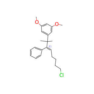 COc1cc(OC)cc(C(C)(C)/C(=C/CCCCCl)c2ccccc2)c1